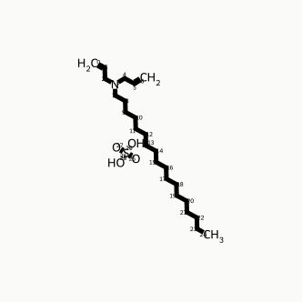 C=CCN(CC=C)CCCCCCCCCCCCCCCCCC.O=S(=O)(O)O